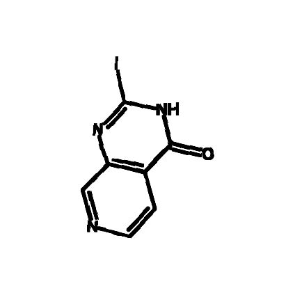 O=c1[nH]c(I)nc2cnccc12